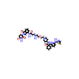 O=C1CCC(N2Cc3c(NC(=O)CCNCCOCCN4CCC(NC(=O)C5(Cc6cccc(Nc7nccs7)n6)CCCCC5)CC4)cccc3C2=O)C(=O)N1